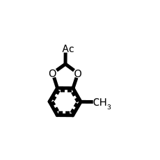 CC(=O)C1Oc2cccc(C)c2O1